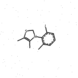 CC1=C(C)N(c2c(C)cccc2I)CS1